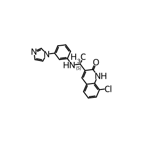 C[C@H](Nc1cccc(-n2ccnc2)c1)c1cc2cccc(Cl)c2[nH]c1=O